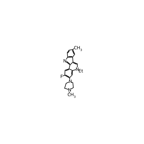 CCn1cc2c3cc(C)ccc3nc-2c2cc(F)c(N3CCN(C)CC3)cc21